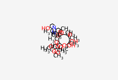 CC[C@H]1OC(=O)[C@H](C)[C@@H](O[C@H]2C[C@@](C)(OC)[C@@H](OC(C)=O)[C@H](C)O2)[C@H](C)[C@@H](O[C@@H]2O[C@H](C)C[C@@H](N3CCCC(O)C3)[C@@H]2N(C)C)[C@@](C)(OC)C[C@@H](C)C(=O)[C@H](C)[C@@H](O)[C@]1(C)O